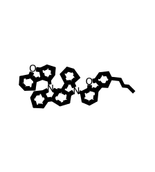 CCCCc1ccc2oc3c(-n4c5ccccc5c5c4ccc4c6ccccc6n(-c6cccc7oc8ccccc8c67)c45)cccc3c2c1